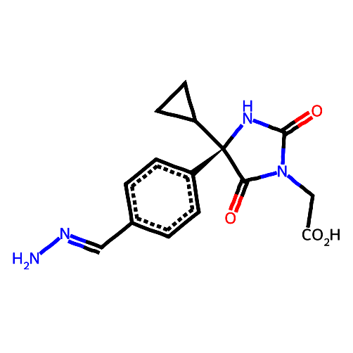 NN=Cc1ccc([C@@]2(C3CC3)NC(=O)N(CC(=O)O)C2=O)cc1